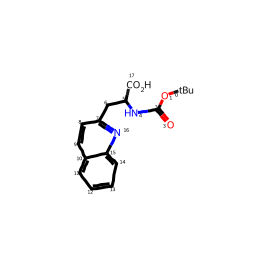 CC(C)(C)OC(=O)NC(Cc1ccc2ccccc2n1)C(=O)O